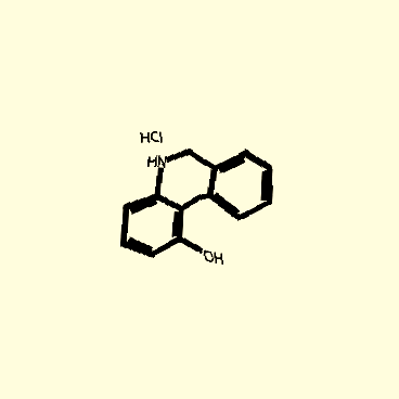 Cl.Oc1cccc2c1-c1ccccc1CN2